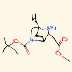 COC(=O)C1N[C@@H]2CC1N(C(=O)OC(C)(C)C)C2